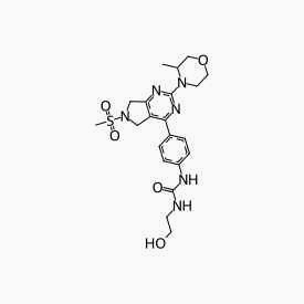 CC1COCCN1c1nc2c(c(-c3ccc(NC(=O)NCCO)cc3)n1)CN(S(C)(=O)=O)C2